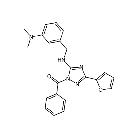 CN(C)c1cccc(CNc2nc(-c3ccco3)nn2C(=O)c2ccccc2)c1